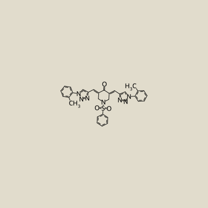 Cc1ccccc1-n1cc(C=C2CN(S(=O)(=O)c3ccccc3)CC(=Cc3cn(-c4ccccc4C)nn3)C2=O)nn1